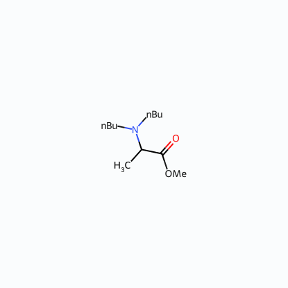 CCCCN(CCCC)C(C)C(=O)OC